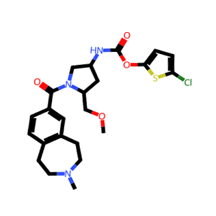 COCC1CC(NC(=O)Oc2ccc(Cl)s2)CN1C(=O)c1ccc2c(c1)CCN(C)CC2